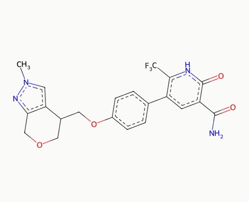 Cn1cc2c(n1)COCC2COc1ccc(-c2cc(C(N)=O)c(=O)[nH]c2C(F)(F)F)cc1